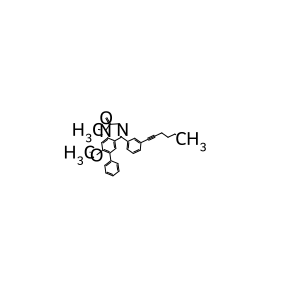 CCCCC#Cc1cccc(C2=NCC(=O)N(C)c3cc(OC)c(-c4ccccc4)cc32)c1